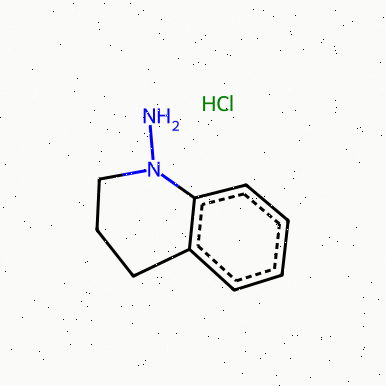 Cl.NN1CCCc2ccccc21